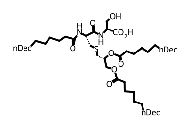 CCCCCCCCCCCCCCCC(=O)N[C@@H](CSC[C@@H](COC(=O)CCCCCCCCCCCCCCC)OC(=O)CCCCCCCCCCCCCCC)C(=O)N[C@@H](CO)C(=O)O